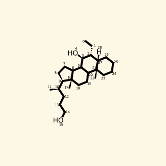 CC[C@H]1[C@H](O)C2C3CC[C@H]([C@H](C)CCCO)[C@@]3(C)CCC2[C@@]2(C)CCCC[C@@H]12